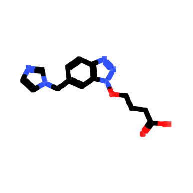 O=C(O)CCCOn1nnc2ccc(Cn3ccnc3)cc21